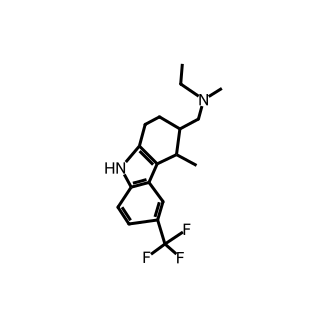 CCN(C)CC1CCc2[nH]c3ccc(C(F)(F)F)cc3c2C1C